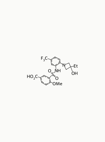 CCC1(O)CN(c2ccc(C(F)(F)F)cc2NS(=O)(=O)c2cc(C(=O)O)ccc2OC)C1